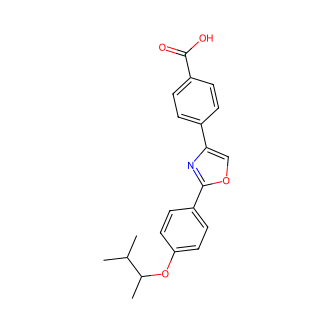 CC(C)C(C)Oc1ccc(-c2nc(-c3ccc(C(=O)O)cc3)co2)cc1